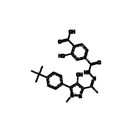 C/C(=N/NC(=O)c1ccc(C(=O)O)c(O)c1)c1nn(C)c(-c2ccc(C(C)(C)C)cc2)c1O